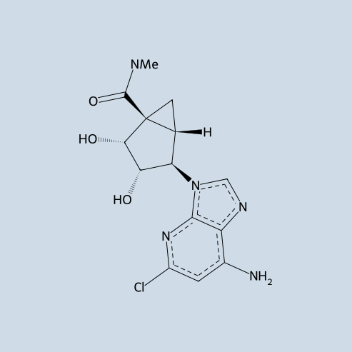 CNC(=O)[C@@]12C[C@@H]1[C@@H](n1cnc3c(N)cc(Cl)nc31)[C@H](O)[C@@H]2O